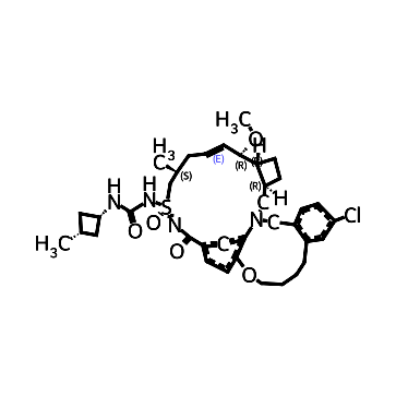 CO[C@H]1/C=C/C[C@H](C)CS(=O)(NC(=O)N[C@H]2C[C@@H](C)C2)=NC(=O)c2ccc3c(c2)N(Cc2ccc(Cl)cc2CCCCO3)C[C@@H]2CC[C@H]21